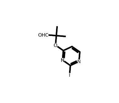 CC(C)(C=O)Oc1ccnc(I)n1